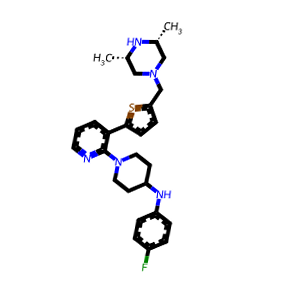 C[C@@H]1CN(Cc2ccc(-c3cccnc3N3CCC(Nc4ccc(F)cc4)CC3)s2)C[C@H](C)N1